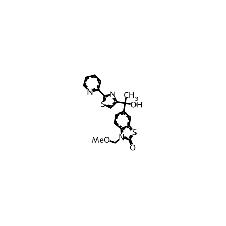 COCn1c(=O)sc2cc(C(C)(O)c3csc(-c4ccccn4)n3)ccc21